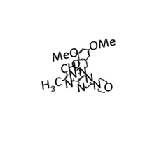 COc1cc(Cn2c(=O)n3c(C)c(C)nc3c3ncc(N4CCOCC4)nc32)cc(OC)c1